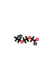 CCC[Si](C)(C)C(C)(C)O[Si](C)(C)C(C)(C)O[Si](C)(C)C(=O)CC